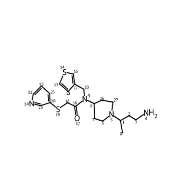 CC(CCN)N1CCC(N(Cc2ccsc2)C(=O)CSc2cccnc2)CC1